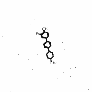 CCCCC1CCC(c2ccc(-c3ccc(C)c(F)c3)cc2)CC1